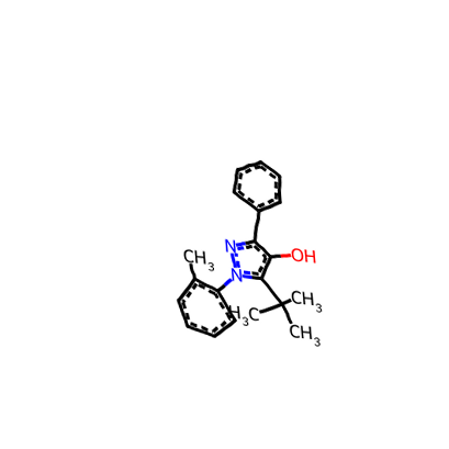 Cc1ccccc1-n1nc(-c2ccccc2)c(O)c1C(C)(C)C